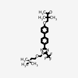 CC(=O)C(C)(C)COc1ccc(-c2ccc(-c3nc(C(F)(F)F)n(COCCS(C)(C)C)n3)cc2)cc1